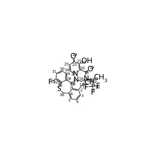 C#Cc1cccc2c1[C@@H](N1CN([C@H](C)C(F)(F)F)C(=O)c3c(O)c(=O)ccn31)c1cccc(F)c1SC2